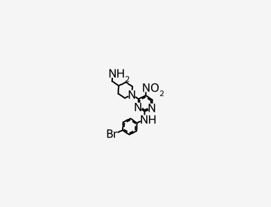 NCC1CCN(c2nc(Nc3ccc(Br)cc3)ncc2[N+](=O)[O-])CC1